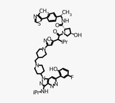 Cc1ncsc1-c1ccc([C@H](C)NC(=O)[C@@H]2C[C@@H](O)CN2C(=O)C(c2cc(N3CCC(CN4CCC(n5nc(NC(C)C)c6nnc(-c7cc(F)ccc7O)cc65)CC4)CC3)no2)C(C)C)cc1